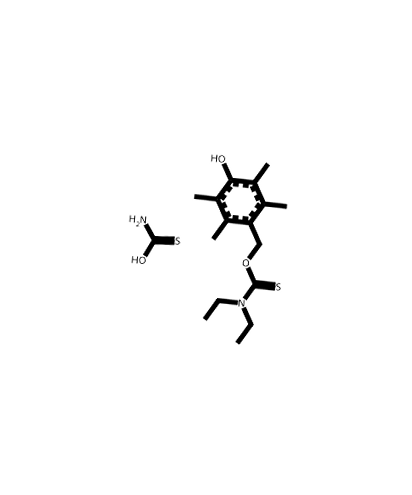 CCN(CC)C(=S)OCc1c(C)c(C)c(O)c(C)c1C.NC(O)=S